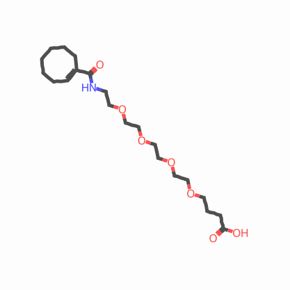 O=C(O)CCCOCCOCCOCCOCCNC(=O)/C1=C/CCCCCC1